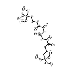 CCO[Si](CCCC(=O)C(CC)CN(CC)CC(CC)C(=O)CCC[Si](OCC)(OCC)OCC)(OCC)OCC